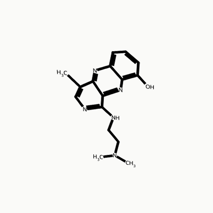 Cc1cnc(NCCN(C)C)c2nc3c(O)cccc3nc12